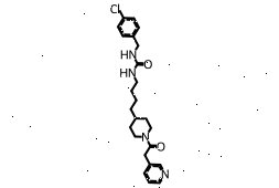 O=C(NCCCCC1CCN(C(=O)Cc2cccnc2)CC1)NCc1ccc(Cl)cc1